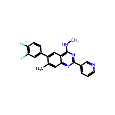 CNc1nc(-c2cccnc2)nc2cc(C)c(-c3ccc(F)c(F)c3)cc12